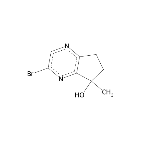 CC1(O)CCc2ncc(Br)nc21